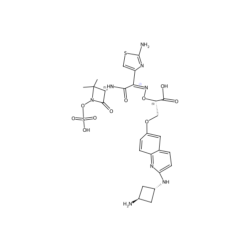 CC1(C)[C@H](NC(=O)/C(=N\O[C@@H](COc2ccc3nc(N[C@H]4C[C@H](N)C4)ccc3c2)C(=O)O)c2csc(N)n2)C(=O)N1OS(=O)(=O)O